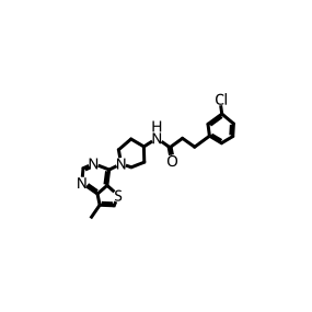 Cc1csc2c(N3CCC(NC(=O)CCc4cccc(Cl)c4)CC3)ncnc12